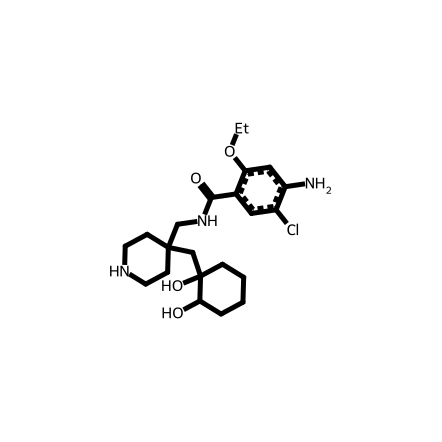 CCOc1cc(N)c(Cl)cc1C(=O)NCC1(CC2(O)CCCCC2O)CCNCC1